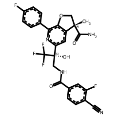 C[C@]1(C(N)=O)COc2c1cc([C@@](O)(CNC(=O)c1ccc(C#N)c(F)c1)C(F)(F)F)nc2-c1ccc(F)cc1